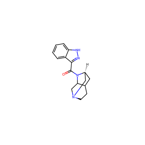 O=C(c1n[nH]c2ccccc12)N1C2C[N@]3CCC2C[C@H]1C3